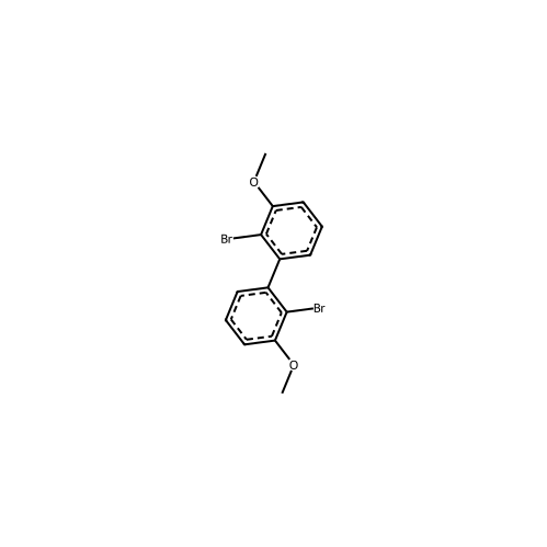 COc1cccc(-c2cccc(OC)c2Br)c1Br